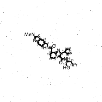 CNc1nc2ccc(CNC(=O)c3cccn4c(C(=O)N[C@H](CO)CC(C)C)c(-c5ccsc5)nc34)cc2s1